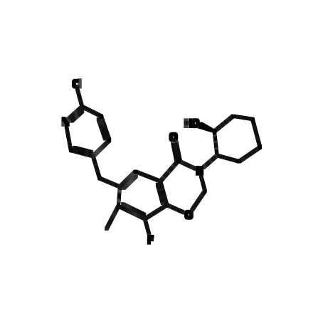 Cc1c(Cc2ccc(Cl)nc2)cc2c(c1F)OCN(C1CCCC[C@@H]1O)C2=O